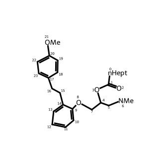 CCCCCCCC(=O)OC(CNC)COc1ccccc1CCc1ccc(OC)cc1